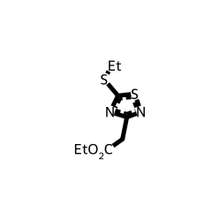 CCOC(=O)Cc1nsc(SCC)n1